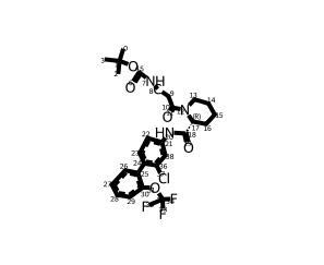 CC(C)(C)OC(=O)NCCC(=O)N1CCCC[C@@H]1C(=O)Nc1ccc(-c2ccccc2OC(F)(F)F)c(Cl)c1